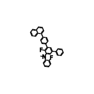 CN(c1ccccc1F)c1cc(-c2ccccc2)cc(-c2ccc(-c3cccc4ccccc34)cc2)c1F